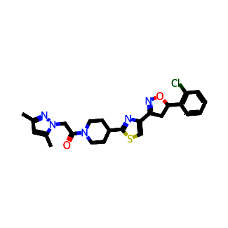 Cc1cc(C)n(CC(=O)N2CCC(c3nc(C4=NOC(c5[c]cccc5Cl)C4)cs3)CC2)n1